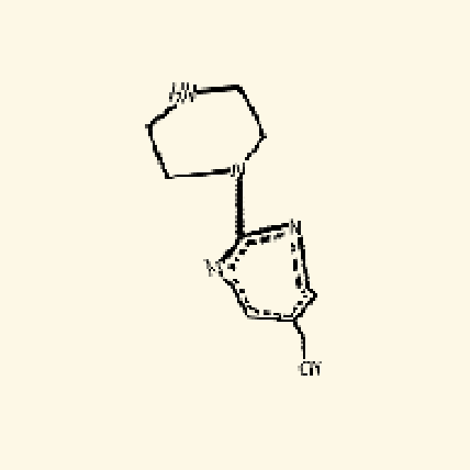 N#Cc1cnc(N2CCNCC2)nc1